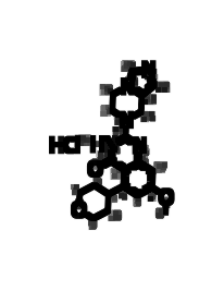 COc1cc(C2CCOCC2)c2c(=O)[nH]c(N3CCn4cncc4C3)nc2c1.Cl